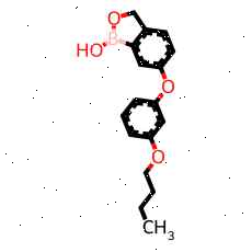 CCCCOc1cccc(Oc2ccc3c(c2)B(O)OC3)c1